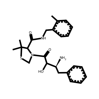 Cc1ccccc1CNC(=O)C1N(C(=O)C(O)[C@@H](N)Cc2ccccc2)CSC1(C)C